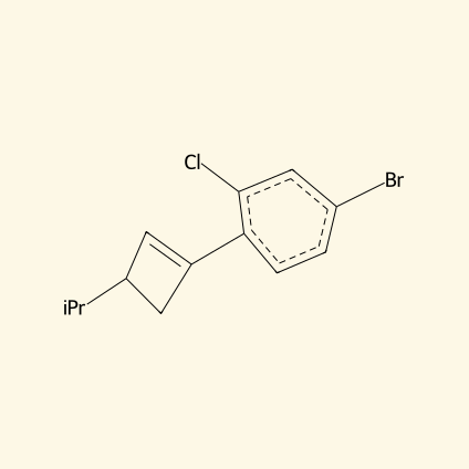 CC(C)C1C=C(c2ccc(Br)cc2Cl)C1